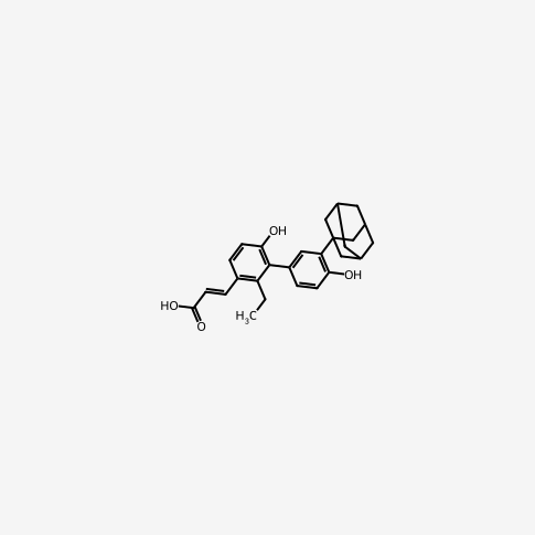 CCc1c(C=CC(=O)O)ccc(O)c1-c1ccc(O)c(C23CC4CC(CC(C4)C2)C3)c1